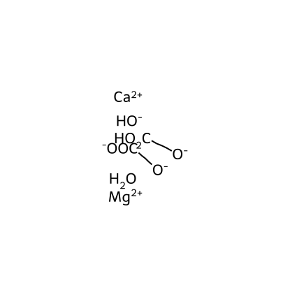 O.O=C([O-])O.O=C([O-])[O-].[Ca+2].[Mg+2].[OH-]